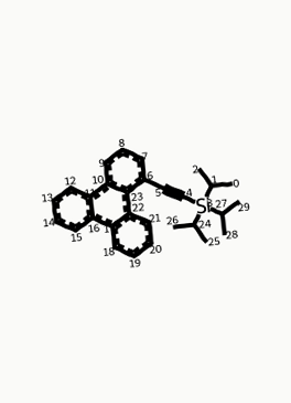 CC(C)[Si](C#Cc1cccc2c3ccccc3c3ccccc3c12)(C(C)C)C(C)C